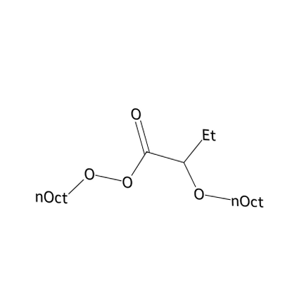 CCCCCCCCOOC(=O)C(CC)OCCCCCCCC